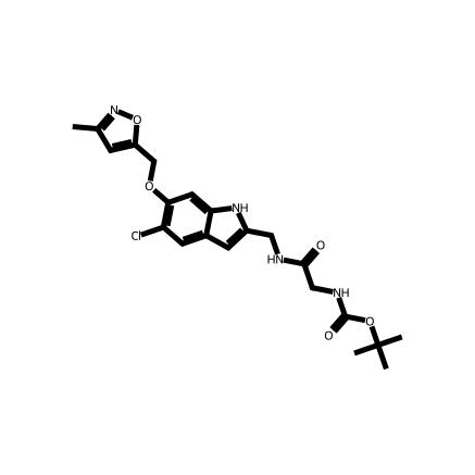 Cc1cc(COc2cc3[nH]c(CNC(=O)CNC(=O)OC(C)(C)C)cc3cc2Cl)on1